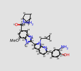 COc1cc(C(=O)N2CC3CCC2[C@@H]3N)cc2nc(-c3cc4ccc(-c5ccc(O)c(N)c5)nc4n3CC3CC3)n(C)c12